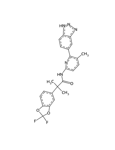 Cc1ccc(NC(=O)C(C)(C)c2ccc3c(c2)OC(F)(F)O3)nc1-c1ccc2[nH]nnc2c1